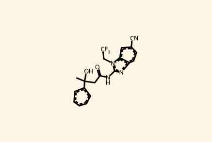 CC(O)(CC(=O)Nc1nc2ccc(C#N)cc2n1CC(F)(F)F)c1ccccc1